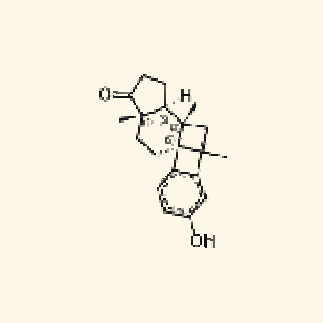 CC12C[C@@]3(C)[C@@H]4CCC(=O)[C@@]4(C)CC[C@@]13c1ccc(O)cc12